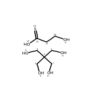 OCC(CO)(CO)CO.OCCC(O)=S